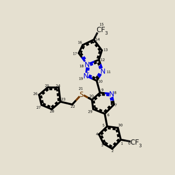 FC(F)(F)c1cccc(-c2cnc(-c3nc4cc(C(F)(F)F)ccn4n3)c(SCc3ccccc3)c2)c1